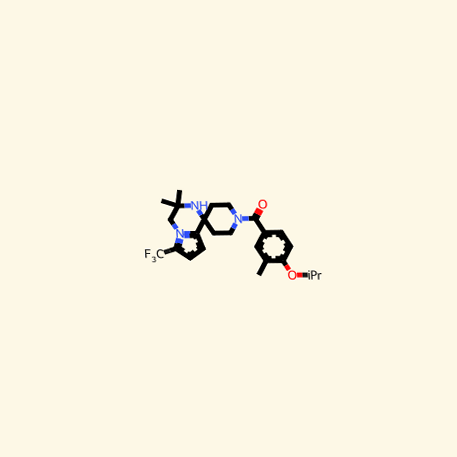 Cc1cc(C(=O)N2CCC3(CC2)NC(C)(C)Cn2c(C(F)(F)F)ccc23)ccc1OC(C)C